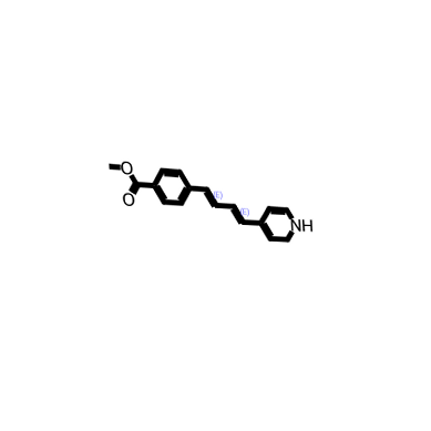 COC(=O)c1ccc(/C=C/C=C/C2=CCNC=C2)cc1